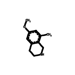 COc1cc(C)c2c(c1)CCNC2